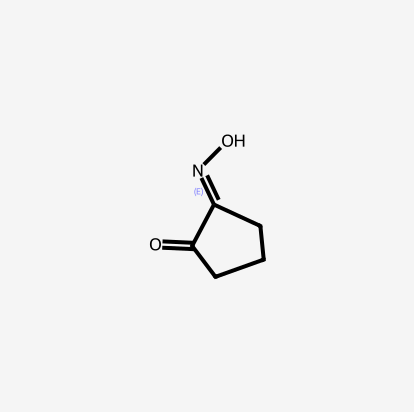 O=C1CCC/C1=N\O